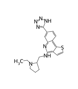 CCN1CCCC1CNc1nc2cc(-c3nnn[nH]3)ccc2c2sccc12